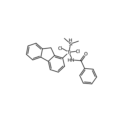 C[SiH](C)[Ti]([Cl])([Cl])([NH]C(=O)c1ccccc1)[c]1cccc2c1Cc1ccccc1-2